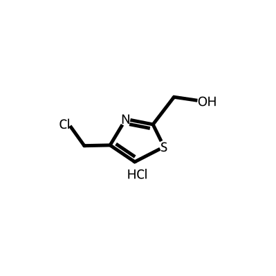 Cl.OCc1nc(CCl)cs1